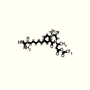 CC(CC(=O)OC(=O)C(F)(F)F)N1CC(=O)N(C(C)C)c2ccc(CCCCCNC(=N)N)cc2C1=O